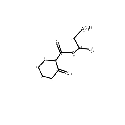 O=C1CCCCC1C(=O)OC(CS(=O)(=O)O)C(F)(F)F